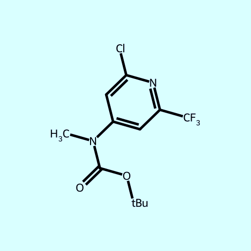 CN(C(=O)OC(C)(C)C)c1cc(Cl)nc(C(F)(F)F)c1